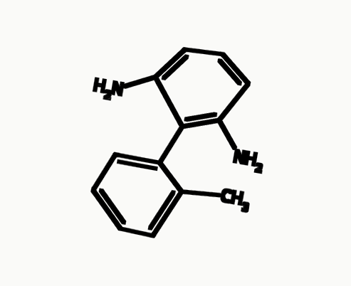 Cc1ccccc1-c1c(N)cccc1N